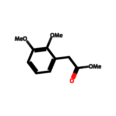 COC(=O)Cc1cccc(OC)c1OC